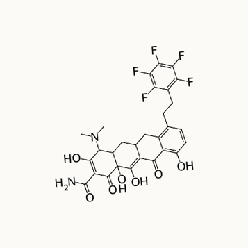 CN(C)C1C(O)=C(C(N)=O)C(=O)C2(O)C(O)=C3C(=O)c4c(O)ccc(CCc5c(F)c(F)c(F)c(F)c5F)c4CC3CC12